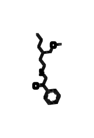 CCCC(CCSCC(=O)c1ccccc1)COC